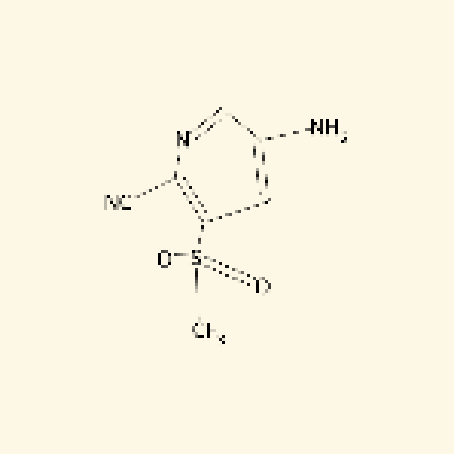 N#Cc1ncc(N)cc1S(=O)(=O)C(F)(F)F